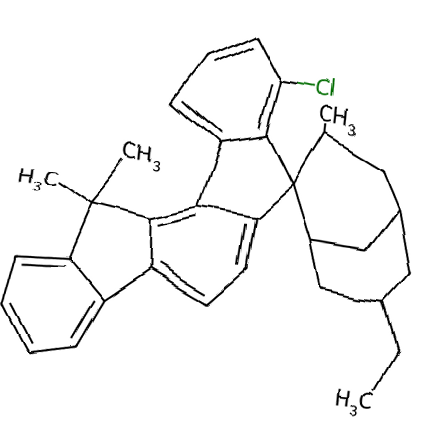 CCC1CC2CC(C)C3(c4ccc5c(c4-c4cccc(Cl)c43)C(C)(C)c3ccccc3-5)C(C1)C2